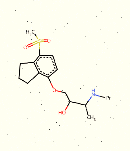 CC(C)NC(C)C(O)COc1ccc(S(C)(=O)=O)c2c1CCC2